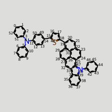 c1ccc(N(c2ccccc2)c2ccc(-c3ccc(-c4ccc5ccc6c7c(ccc4c57)cc4c5ccccc5n(-c5ccccc5)c46)s3)cc2)cc1